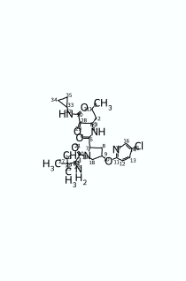 CCC[C@@H](NC(=O)C1CC(Oc2ccc(Cl)cn2)CN1C(=O)[C@H](N)C(C)(C)C)C(=O)C(=O)NC1CC1